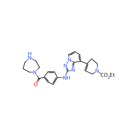 CCOC(=O)N1CC=C(c2cccn3nc(Nc4ccc(C(=O)N5CCCNCC5)cc4)nc23)CC1